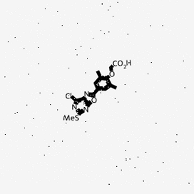 CSc1nc(Cl)c2nc(-c3cc(C)c(OCC(=O)O)c(C)c3)oc2n1